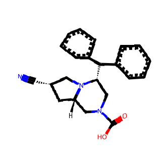 N#C[C@H]1C[C@H]2CN(C(=O)O)C[C@@H](C(c3ccccc3)c3ccccc3)N2C1